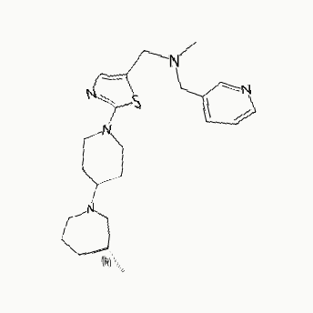 C[C@@H]1CCCN(C2CCN(c3ncc(CN(C)Cc4cccnc4)s3)CC2)C1